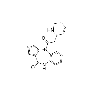 O=C1Nc2ccccc2N(C(=O)CC2C=CCCN2)c2cscc21